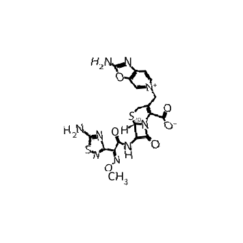 CON=C(C(=O)NC1C(=O)N2C(C(=O)[O-])=C(C[n+]3ccc4nc(N)oc4c3)CS[C@@H]12)c1nsc(N)n1